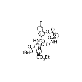 CCOC(=O)N1CCN(C(=O)[C@H](CCC(=O)OC(C)(C)C)NC(=O)c2cc(OCC(=O)N3CCC[C@H]3C(=O)NC3CCC3)c3cc(F)ccc3n2)CC1